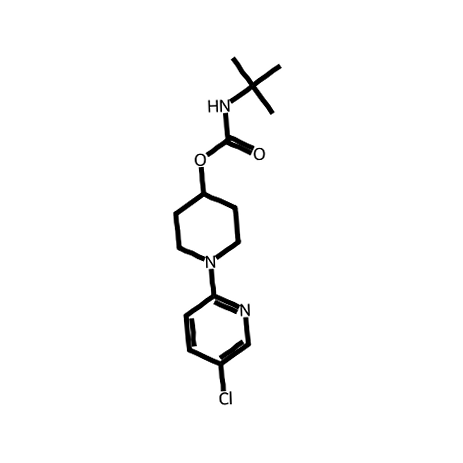 CC(C)(C)NC(=O)OC1CCN(c2ccc(Cl)cn2)CC1